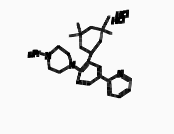 CCCN1CCN(c2ccc(-c3ccccn3)cc2C2CC(C)(C)CC(C)(C)C2)CC1.Cl.Cl